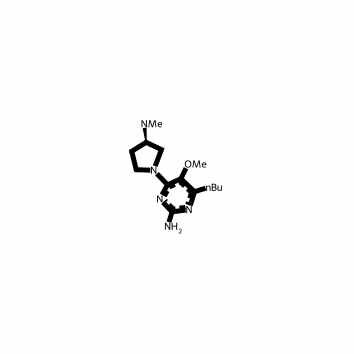 CCCCc1nc(N)nc(N2CC[C@@H](NC)C2)c1OC